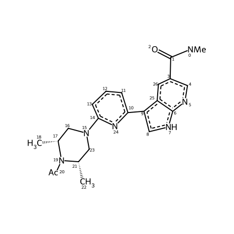 CNC(=O)c1cnc2[nH]cc(-c3cccc(N4C[C@@H](C)N(C(C)=O)[C@@H](C)C4)n3)c2c1